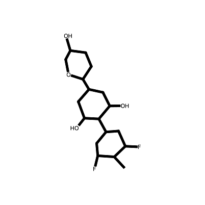 CC1C(F)CC(C2C(O)CC(C3CCC(O)CO3)CC2O)CC1F